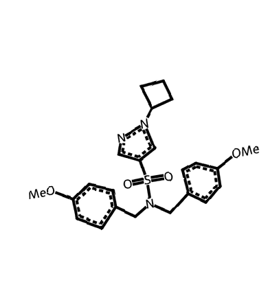 COc1ccc(CN(Cc2ccc(OC)cc2)S(=O)(=O)c2cnn(C3CCC3)c2)cc1